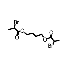 CC(Br)C(=O)OCCCCOC(=O)C(C)Br